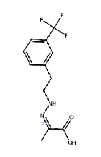 C/C(=N/NCCc1cccc(C(F)(F)F)c1)C(=O)O